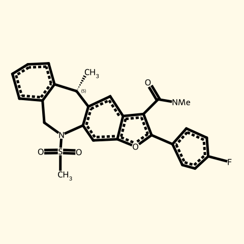 CNC(=O)c1c(-c2ccc(F)cc2)oc2cc3c(cc12)[C@@H](C)c1ccccc1CN3S(C)(=O)=O